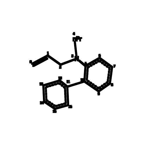 C=CCN(CCC)c1ccccc1-c1ccccc1